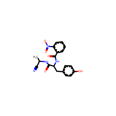 CC(C#N)NC(=O)C(Cc1ccc(O)cc1)NC(=O)c1ccccc1[N+](=O)[O-]